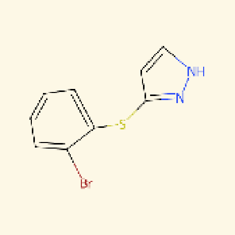 Brc1ccccc1Sc1cc[nH]n1